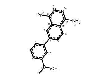 CB(O)c1cccc(-c2ccc3c(N)nnc(C(C)C)c3c2)c1